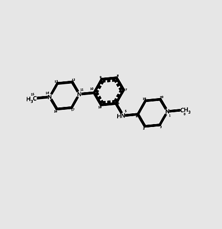 CN1CCC(Nc2[c]ccc(N3CCN(C)CC3)c2)CC1